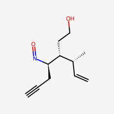 C#CC[C@@H](N=O)[C@H](CCO)[C@H](C)C=C